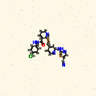 N#Cc1cnc(Nc2cc(CSc3ncccc3C(=O)Nc3ccc(Cl)cc3)ccn2)s1